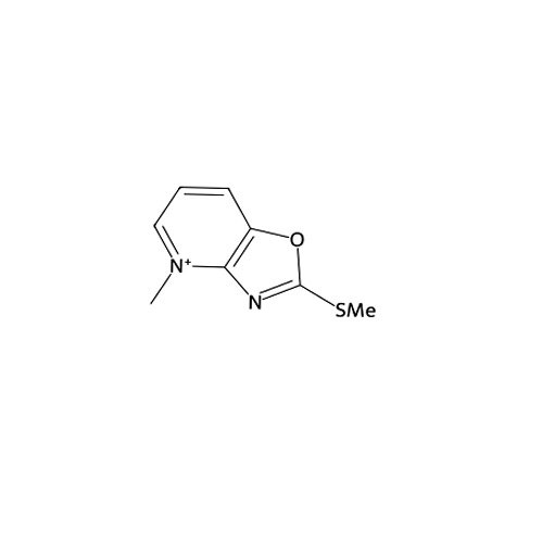 CSc1nc2c(ccc[n+]2C)o1